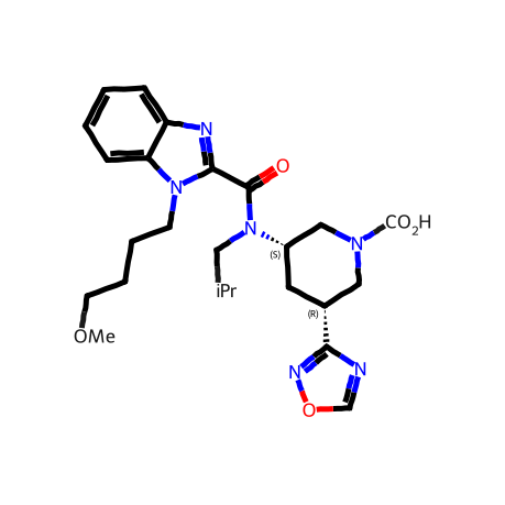 COCCCCn1c(C(=O)N(CC(C)C)[C@H]2C[C@@H](c3ncon3)CN(C(=O)O)C2)nc2ccccc21